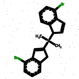 C[Si](C)(C1=Cc2c(Br)cccc2C1)C1C=Cc2c(Br)cccc21